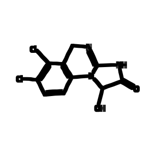 O=C1NC2=NCc3c(ccc(Cl)c3Cl)N2C1O